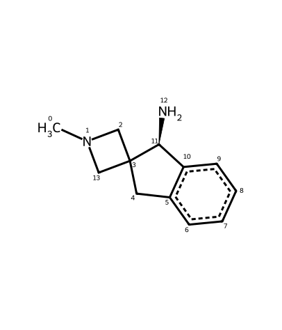 CN1CC2(Cc3ccccc3[C@@H]2N)C1